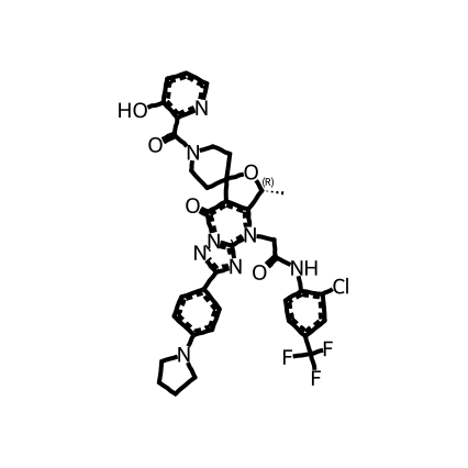 C[C@H]1OC2(CCN(C(=O)c3ncccc3O)CC2)c2c1n(CC(=O)Nc1ccc(C(F)(F)F)cc1Cl)c1nc(-c3ccc(N4CCCC4)cc3)nn1c2=O